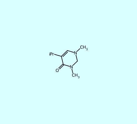 CC(C)C1=CN(C)CN(C)C1=O